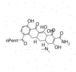 CCCCCC(=O)c1ccc(O)c2c1C[C@@H]1C[C@@H]3[C@@H](N(C)C)C(O)=C(C(N)=O)C(=O)[C@]3(O)C(O)=C1C2=O